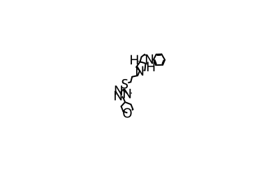 Cn1c(SCCCN2C[C@H]3CCN(c4ccccc4)[C@H]3C2)nnc1C1CCOCC1